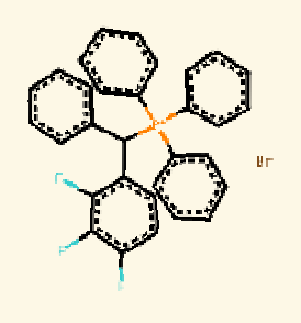 Fc1ccc(C(c2ccccc2)[P+](c2ccccc2)(c2ccccc2)c2ccccc2)c(F)c1F.[Br-]